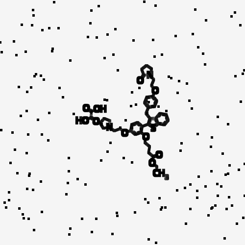 CCOC(=O)CCCOc1cc(OCCN2CCCC2)ccc1-c1sc2ccccc2c1Cc1ccc(OCCN2CCCC2=O)cc1.O=C(O)C(=O)O